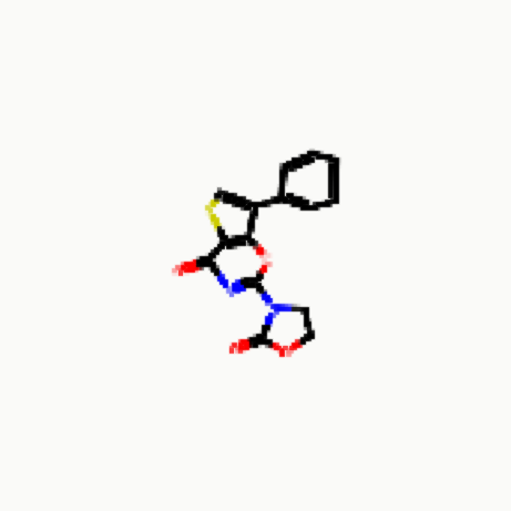 O=C1OCCN1c1nc(=O)c2scc(-c3ccccc3)c2o1